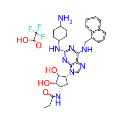 CCC(=O)N[C@H]1C[C@@H](n2cnc3c(NCc4cccc5ccccc45)nc(NC4CCC(N)CC4)nc32)[C@H](O)[C@@H]1O.O=C(O)C(F)(F)F